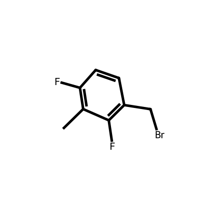 Cc1c(F)ccc(CBr)c1F